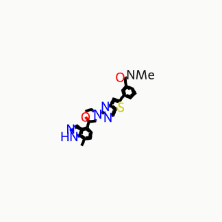 CNC(=O)c1cccc(-c2cc3nc(N4CCOC(c5ccc(C)c6[nH]ncc56)C4)ncc3s2)c1